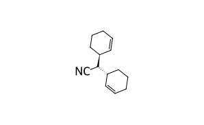 N#CC([C@@H]1C=CCCC1)[C@H]1C=CCCC1